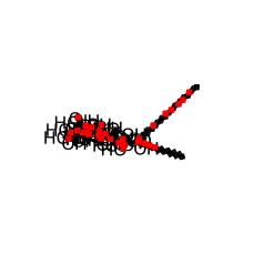 CCCCCCCCCCCCC/C=C/[C@@H](O)[C@H](CO[C@@H]1OC(CO)[C@@H](O[C@@H]2OC(CO)[C@H](O[C@@H]3OC(CO)[C@H](O)[C@H](O[C@@H]4OC(CO)[C@H](O)[C@H](O[C@@H]5OC(CO)[C@H](O[C@@H]6OC(CO)[C@H](O)[C@H](O)C6O)[C@H](O)C5NC(C)=O)C4O)C3NC(C)=O)[C@H](O)C2O)[C@H](O)C1O)NC(=O)CCCCCCCCCCCCCCCCCCCCCCCCC